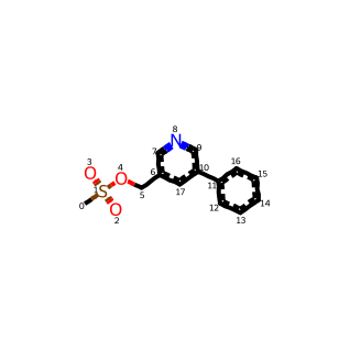 CS(=O)(=O)OCc1cncc(-c2ccccc2)c1